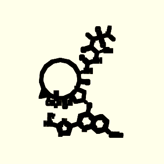 COc1ccc2c(O[C@@H]3C[C@H]4C(=O)N[C@]5(C(=O)O)CC5CCCCCCC[C@H](NC(=O)N[C@H](C(=O)N(C)S(=O)(=O)N(C)C)C(C)(C)C)C(=O)N4C3)cc(-c3csc(NC(C)C)n3)nc2c1